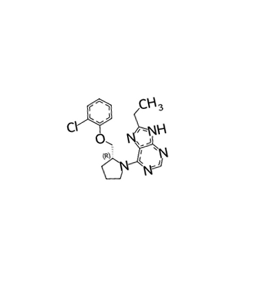 CCc1nc2c(N3CCC[C@@H]3COc3ccccc3Cl)ncnc2[nH]1